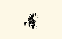 CC(C)C(=O)OC1[C@@]2(CF)O[C@@H](n3ccc(N)nc3=O)[C@H](F)[C@@]12OC(=O)C(C)C